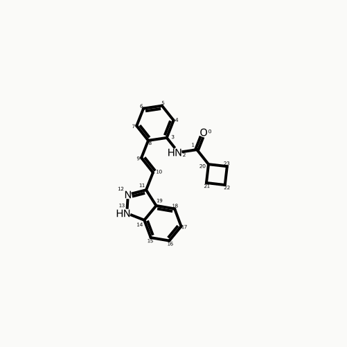 O=C(Nc1ccccc1C=Cc1n[nH]c2ccccc12)C1CCC1